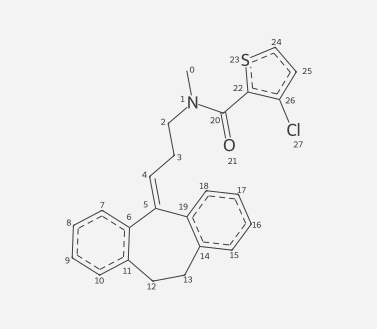 CN(CCC=C1c2ccccc2CCc2ccccc21)C(=O)c1sccc1Cl